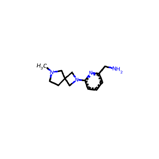 CN1CCC2(C1)CN(c1cccc(CN)n1)C2